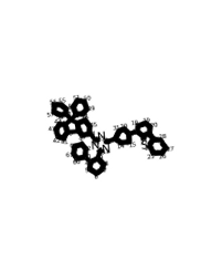 c1ccc(-c2ccccc2-c2nc(-c3ccc(-c4cccc5c4sc4ccccc45)cc3)nc(-c3ccc4c(c3)-c3ccccc3C4(c3ccccc3)c3ccccc3)n2)cc1